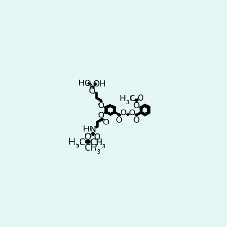 CC(=O)Oc1ccccc1C(=O)OCOC(=O)c1ccc(OCCCON(O)O)c(OC(=O)CCNC(=O)OC(C)(C)C)c1